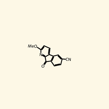 COc1ccc2c(n1)C(=O)c1ccc(C#N)cc1-2